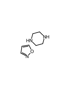 C1CNCCN1.c1cnoc1